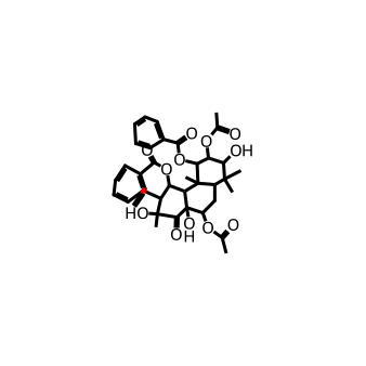 C=CC1C(OC(=O)c2ccccc2)C2C(O)(C(=O)C1(C)O)C(OC(C)=O)CC1C(C)(C)C(O)C(OC(C)=O)C(OC(=O)c3ccccc3)C12C